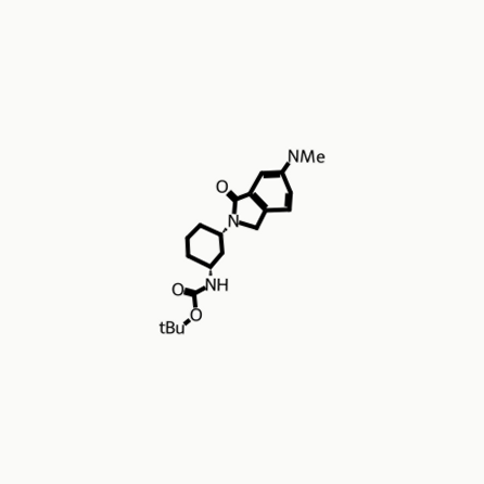 CNc1ccc2c(c1)C(=O)N([C@H]1CCC[C@@H](NC(=O)OC(C)(C)C)C1)C2